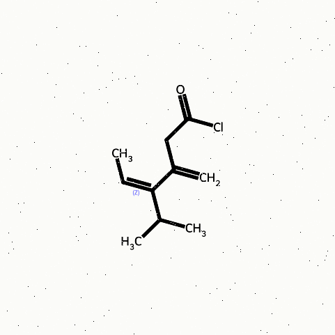 C=C(CC(=O)Cl)/C(=C\C)C(C)C